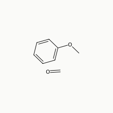 C=O.COc1ccccc1